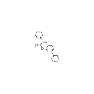 COC(=O)/C(=C\c1ccc(-c2ccccc2)cc1)c1ccccc1